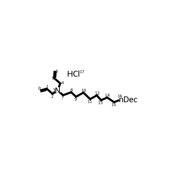 C=CCN(CC=C)CCCCCCCCCCCCCCCCCCC.Cl